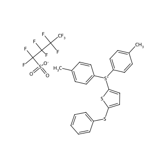 Cc1ccc([S+](c2ccc(C)cc2)c2ccc(Sc3ccccc3)s2)cc1.O=S(=O)([O-])C(F)(F)C(F)(F)C(F)(F)C(F)(F)F